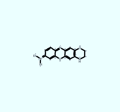 CC[N+](CC)=c1ccc2nc3cc4c(cc3oc-2c1)NCCO4